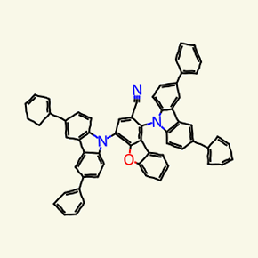 N#Cc1cc(-n2c3ccc(C4=CC=CCC4)cc3c3cc(-c4ccccc4)ccc32)c2oc3ccccc3c2c1-n1c2ccc(-c3ccccc3)cc2c2cc(-c3ccccc3)ccc21